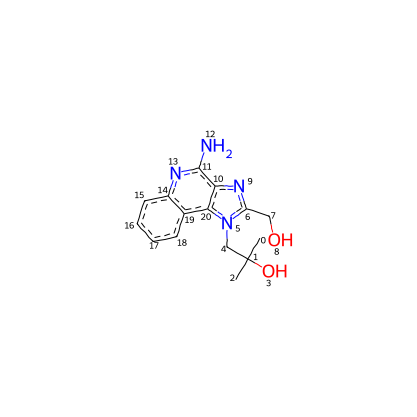 CC(C)(O)Cn1c(CO)nc2c(N)nc3ccccc3c21